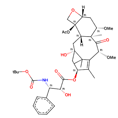 CO[C@H]1C(=O)[C@]2(C)[C@@H](OC)C[C@H]3OC[C@@]3(OC(C)=O)[C@H]2C[C@]2(O)C[C@H](OC(=O)[C@H](O)[C@@H](NC(=O)OC(C)(C)C)c3ccccc3)C(C)=C1C2(C)C